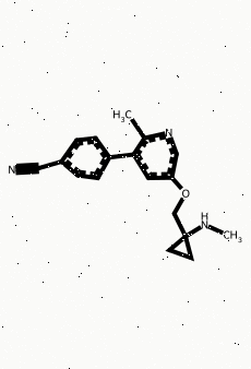 CNC1(COc2cnc(C)c(-c3ccc(C#N)cc3)c2)CC1